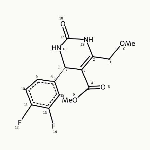 COCC1=C(C(=O)OC)[C@H](c2ccc(F)c(F)c2)NC(=O)N1